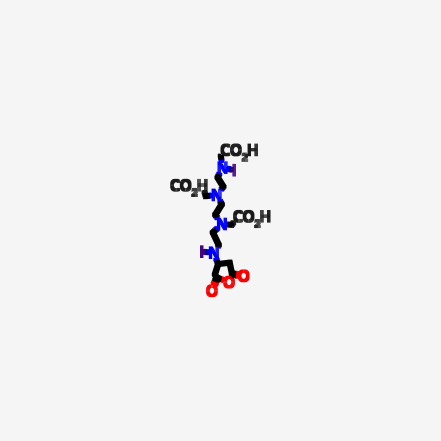 O=C(O)CN(I)CCN(CCN(CCN(I)C1CC(=O)OC(=O)C1)CC(=O)O)CC(=O)O